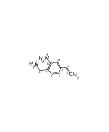 C=Cc1ccc(CN)c(N)c1